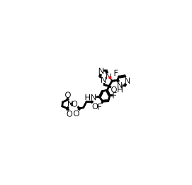 C[C@@H](c1ncncc1F)C(O)(Cn1cncn1)c1cc(NC(=O)CCC(=O)ON2C(=O)CCC2=O)c(F)cc1F